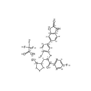 CCN1CCC[C]1CN(Cc1cc(-c2ccc3[nH]c(=O)oc3c2)ccc1F)C(=O)c1ccc(F)cc1.O=C(O)C(F)(F)F